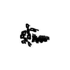 [O-][Si]([O-])([O-])O[Si]([O-])([O-])[O-].[Pb+2].[Pb+2].[Pb+2]